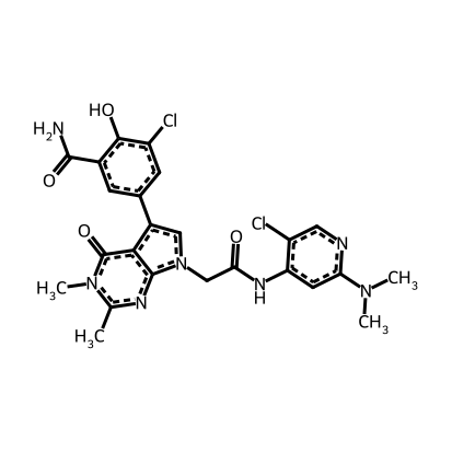 Cc1nc2c(c(-c3cc(Cl)c(O)c(C(N)=O)c3)cn2CC(=O)Nc2cc(N(C)C)ncc2Cl)c(=O)n1C